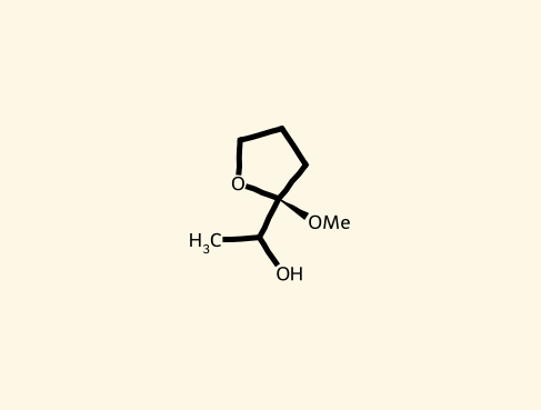 CO[C@]1(C(C)O)CCCO1